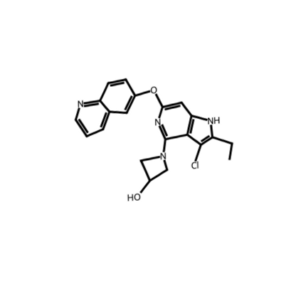 CCc1[nH]c2cc(Oc3ccc4ncccc4c3)nc(N3CC(O)C3)c2c1Cl